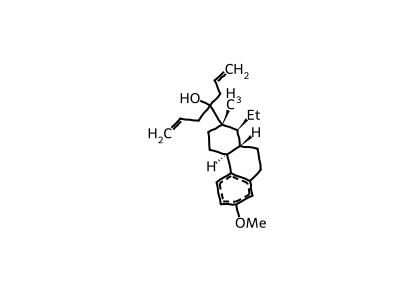 C=CCC(O)(CC=C)[C@@]1(C)CC[C@@H]2c3ccc(OC)cc3CC[C@H]2[C@@H]1CC